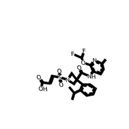 Cc1ccc(NC(=O)C2(c3ccccc3C(C)C)CN(S(=O)(=O)/C=C/C(=O)O)C2)c(OC(F)F)n1